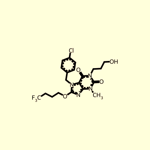 Cn1c(=O)n(CCCO)c(=O)c2c1nc(OCCCC(F)(F)F)n2Cc1ccc(Cl)cc1